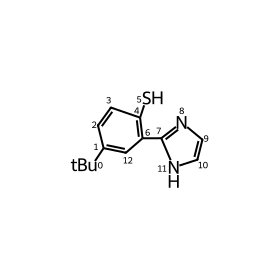 CC(C)(C)c1ccc(S)c(-c2ncc[nH]2)c1